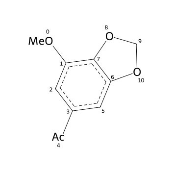 COc1cc(C(C)=O)cc2c1OCO2